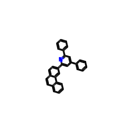 c1ccc(-c2cc(-c3ccccc3)nc(-c3ccc4ccc5ccccc5c4c3)c2)cc1